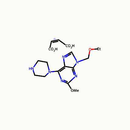 CCOCn1cnc2c(N3CCNCC3)nc(OC)nc21.O=C(O)/C=C\C(=O)O